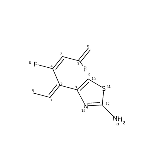 C=C(F)/C=C(F)\C(=C/C)c1csc(N)n1